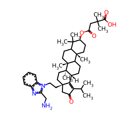 CC(C)C1=C2[C@H]3CCC4[C@@]5(C)CC[C@H](OC(=O)CC(C)(C)C(=O)O)C(C)(C)C5CC[C@@]4(C)[C@]3(C)CC[C@@]2(CCn2c(CN)nc3ccccc32)CC1=O